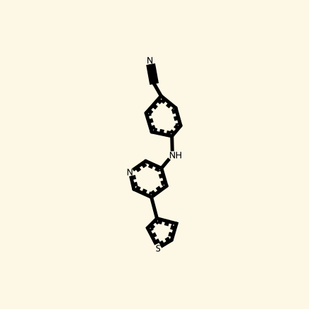 N#Cc1ccc(Nc2cncc(-c3ccsc3)c2)cc1